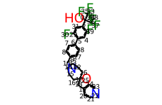 OC(c1ccc(-c2ccc(CN3C4CCC3CC3(Cc5ccncc5O3)C4)cc2)c(F)c1)(C(F)(F)F)C(F)(F)F